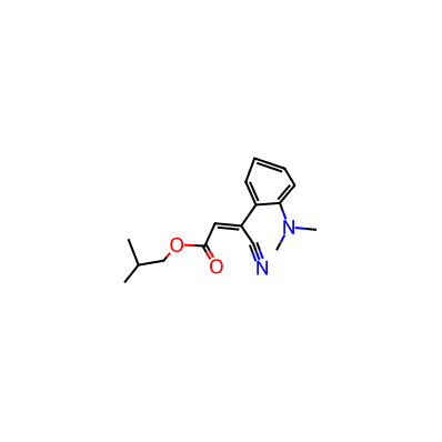 CC(C)COC(=O)C=C(C#N)c1ccccc1N(C)C